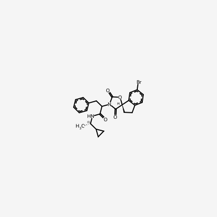 C[C@H](NC(=O)C(Cc1ccccc1)N1C(=O)O[C@@]2(CCc3ccc(Br)cc32)C1=O)C1CC1